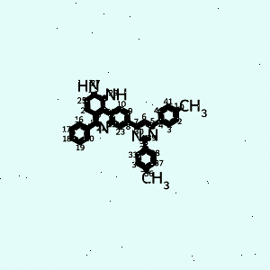 Cc1ccc(-c2cc(-c3ccc4c5c(c(-c6ccccc6)nc4c3)C=CC(=N)C5=N)nc(-c3ccc(C)cc3)n2)cc1